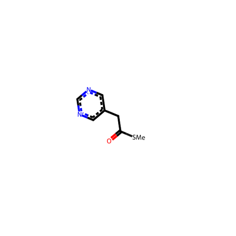 CSC(=O)Cc1cncnc1